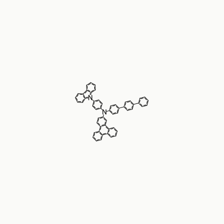 c1ccc(-c2ccc(-c3ccc(N(c4ccc(-n5c6ccccc6c6ccccc65)cc4)c4ccc5c6ccccc6c6ccccc6c5c4)cc3)cc2)cc1